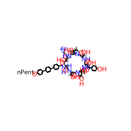 CCCCCOc1ccc(-c2ccc(-c3ccc(C(=O)N[C@H]4C[C@@H](O)[C@@H](OCC[N+](C)(C)C)NC(=O)[C@@H]5[C@@H](O)[C@@H](C)CN5C(=O)[C@H]([C@@H](C)O)NC(=O)C([C@H](O)[C@@H](O)c5ccc(O)cc5)NC(=O)[C@@H]5C[C@@H](O)CN5C(=O)[C@H]([C@@H](C)O)NC4=O)cc3)cc2)cc1